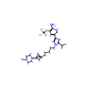 CC(C)c1nc(-c2cnc(N)c(OC(F)(F)F)c2)cn1CCCCCC12CC(N3CCN(C)CC3)(C1)C2